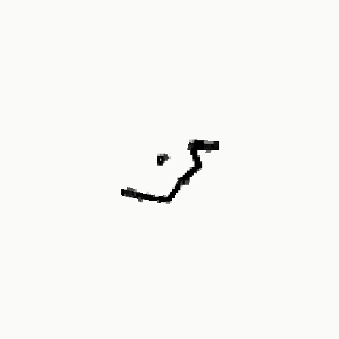 CCCCCCC[CH2][Zn][CH2]CCCCCCC.[O-2]